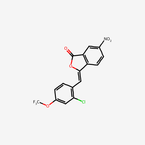 O=C1OC(=Cc2ccc(OC(F)(F)F)cc2Cl)c2ccc([N+](=O)[O-])cc21